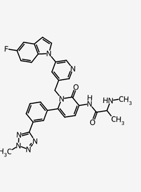 CNC(C)C(=O)Nc1ccc(-c2cccc(-c3nnn(C)n3)c2)n(Cc2cncc(-n3ccc4cc(F)ccc43)c2)c1=O